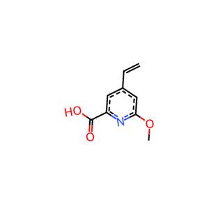 C=Cc1cc(OC)nc(C(=O)O)c1